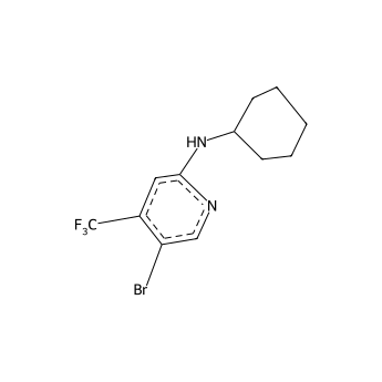 FC(F)(F)c1cc(NC2CCCCC2)ncc1Br